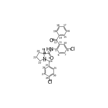 C[C@]1(C(=O)Nc2ccc(Cl)cc2C(=O)c2ccccc2)CCCN1Cc1ccc(Cl)cc1